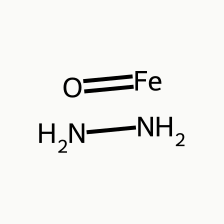 NN.[O]=[Fe]